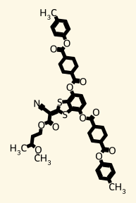 COC(C)CCOC(=O)C(C#N)=C1Sc2c(OC(=O)C3CCC(C(=O)Oc4ccc(C)cc4)CC3)ccc(OC(=O)C3CCC(C(=O)Oc4ccc(C)cc4)CC3)c2S1